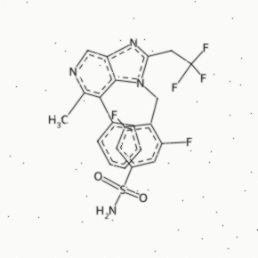 Cc1ncc2nc(CC(F)(F)F)n(Cc3c(F)cc(S(N)(=O)=O)cc3F)c2c1-c1ccccc1